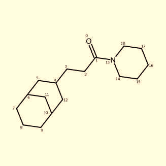 O=C(CCC1CC2CCCC(C2)C1)N1CCCCC1